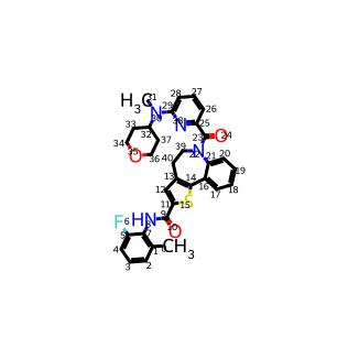 Cc1cccc(F)c1NC(=O)c1cc2c(s1)-c1ccccc1N(C(=O)c1cccc(N(C)C3CCOCC3)n1)CC2